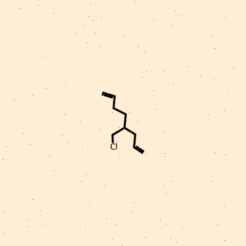 C=CCCC(CCl)CC=C